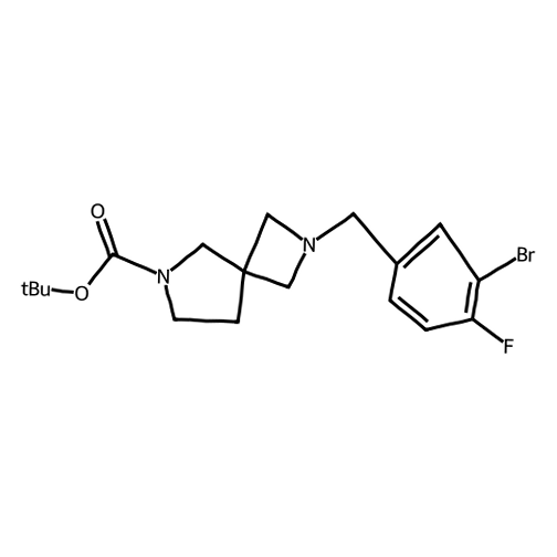 CC(C)(C)OC(=O)N1CCC2(CN(Cc3ccc(F)c(Br)c3)C2)C1